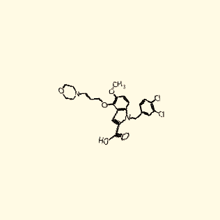 COc1ccc2c(cc(C(=O)O)n2Cc2ccc(Cl)c(Cl)c2)c1OCCCN1CCOCC1